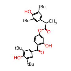 CC(C(=O)Oc1ccc(C(=O)c2cc(C(C)(C)C)c(O)c(C(C)(C)C)c2)c(O)c1)c1cc(C(C)(C)C)c(O)c(C(C)(C)C)c1